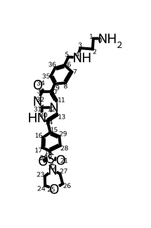 NCCCNCc1ccc(-c2cn3cc(-c4ccc(S(=O)(=O)N5CCOCC5)cc4)[nH]c3nc2=O)cc1